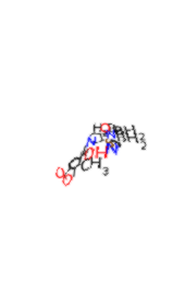 BC(B)(B)N(C(=O)C1CCN(C[C@H](O)c2ccc3c(c2C)COC3=O)CC1)c1ccns1